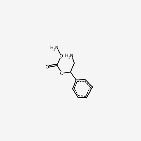 NCC(OC(=O)ON)c1ccccc1